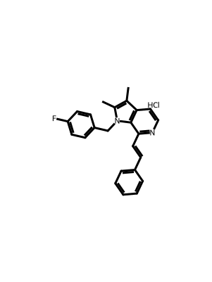 Cc1c(C)n(Cc2ccc(F)cc2)c2c(C=Cc3ccccc3)nccc12.Cl